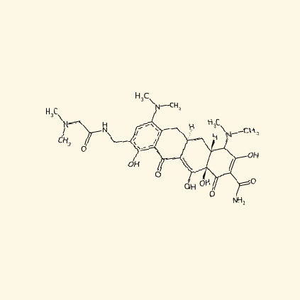 CN(C)CC(=O)NCc1cc(N(C)C)c2c(c1O)C(=O)C1=C(O)[C@@]3(O)C(=O)C(C(N)=O)=C(O)C(N(C)C)[C@H]3C[C@@H]1C2